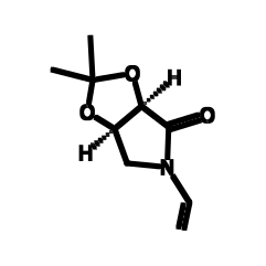 C=CN1C[C@H]2OC(C)(C)O[C@H]2C1=O